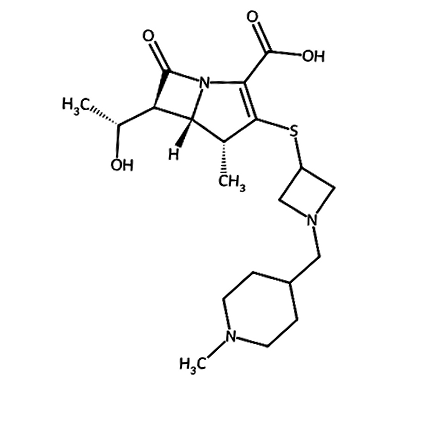 C[C@@H](O)[C@H]1C(=O)N2C(C(=O)O)=C(SC3CN(CC4CCN(C)CC4)C3)[C@H](C)[C@H]12